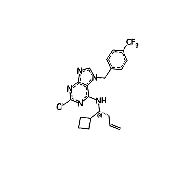 C=CC[C@@H](Nc1nc(Cl)nc2ncn(Cc3ccc(C(F)(F)F)cc3)c12)C1CCC1